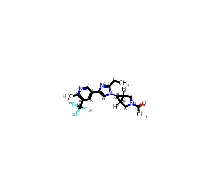 CCc1nc(-c2cnc(C)c(C(F)(F)F)c2)cn1[C@H]1[C@@H]2CN(C(C)=O)C[C@@H]21